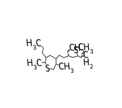 C=CC(CCC1CC(CCC)C(C)SCC1C)CC(C=C)SC